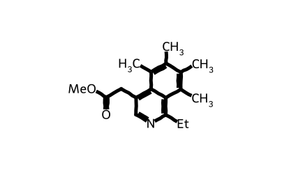 CCc1ncc(CC(=O)OC)c2c(C)c(C)c(C)c(C)c12